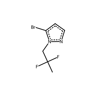 CC(F)(F)Cn1nccc1Br